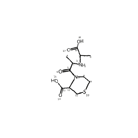 CC(NC(C)C(=O)N1CCSCC1C(=O)O)C(=O)O